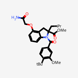 COC(=O)C1(CC(C)C)Cc2c(OCC(N)=O)cccc2N1C(=O)c1ccc(C(C)(C)C)c(OC)c1